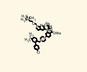 [2H]C1([2H])Oc2nc3c(ccn3COCC[Si](C)(C)C)cc2N(c2cc(N3CCN(CC4=C(c5ccc(Cl)cc5)CC(C)(C)CC4)CC3)ccc2C(=O)OC)C1([2H])[2H]